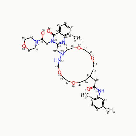 Cc1ccc(C)c(NC(=O)CC2CCOCCOCCN(Cc3nc4c(C)cccc4c(=O)n3CC(=O)N3CCOCC3)NCOCCOCC2)c1